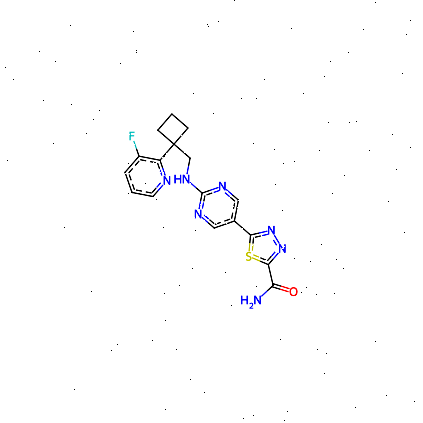 NC(=O)c1nnc(-c2cnc(NCC3(c4ncccc4F)CCC3)nc2)s1